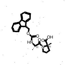 C[C@H](NC(=O)OCC1c2ccccc2-c2ccccc21)C(=O)N1CCC[C@@]1(C)C(=O)O